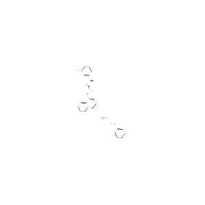 O=C(COc1ccc(/C=N/NC(=O)c2ccc(O)c(Cl)c2)c2ccccc12)NCCc1ccc(Cl)c(Cl)c1